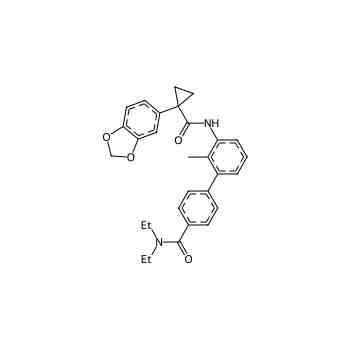 CCN(CC)C(=O)c1ccc(-c2cccc(NC(=O)C3(c4ccc5c(c4)OCO5)CC3)c2C)cc1